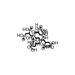 O=P(O)(O)CC(CN(CCN(CC(CP(=O)(O)O)P(=O)(O)O)CC(CP(=O)(O)O)P(=O)(O)O)CC(CP(=O)(O)O)P(=O)(O)O)P(=O)(O)O